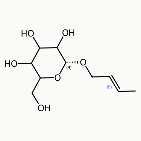 C/C=C/CO[C@@H]1OC(CO)C(O)C(O)C1O